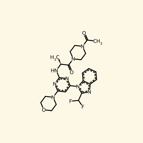 CC(=O)N1CCN(C(=O)[C@H](C)Nc2nc(N3CCOCC3)cc(-n3c(C(F)F)nc4ccccc43)n2)CC1